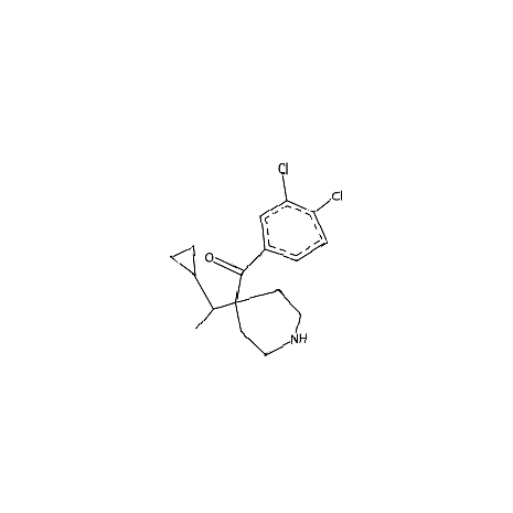 CC(C1CC1)C1(C(=O)c2ccc(Cl)c(Cl)c2)CCNCC1